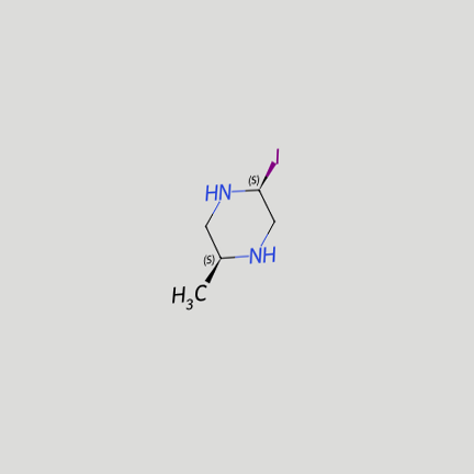 C[C@H]1CN[C@@H](I)CN1